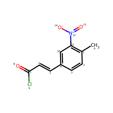 Cc1ccc(/C=C/C(=O)Cl)cc1[N+](=O)[O-]